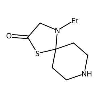 CCN1CC(=O)SC12CCNCC2